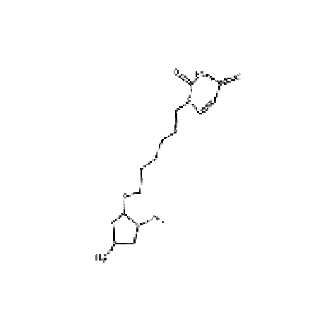 CC1CC(C)C(SCCCCCCn2ccc(=S)[nH]c2=O)C1